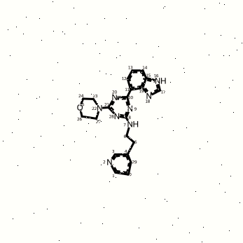 c1cncc(CCNc2nc(-c3cccc4[nH]cnc34)nc(N3CCOCC3)n2)c1